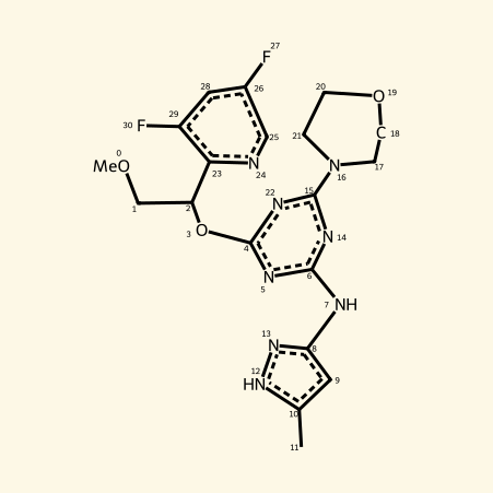 COCC(Oc1nc(Nc2cc(C)[nH]n2)nc(N2CCOCC2)n1)c1ncc(F)cc1F